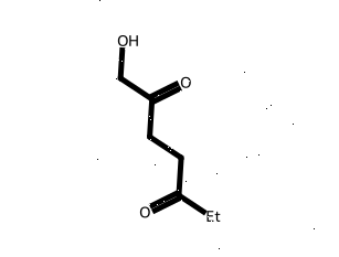 CCC(=O)CCC(=O)CO